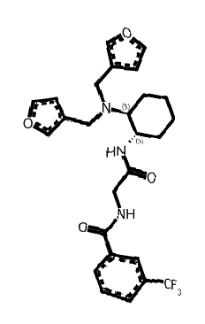 O=C(CNC(=O)c1cccc(C(F)(F)F)c1)N[C@H]1CCCC[C@@H]1N(Cc1ccoc1)Cc1ccoc1